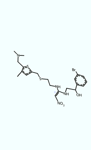 Cc1cc(CSCCN/C(=C/[N+](=O)[O-])NCC(O)c2cccc(Br)c2)sc1CN(C)C